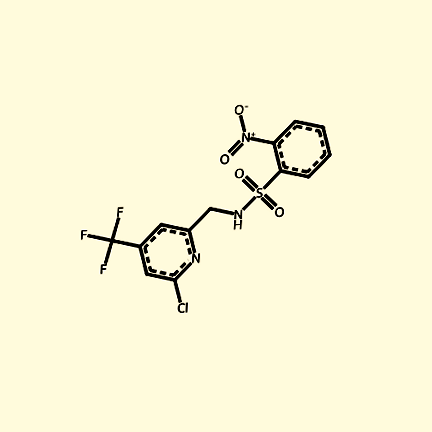 O=[N+]([O-])c1ccccc1S(=O)(=O)NCc1cc(C(F)(F)F)cc(Cl)n1